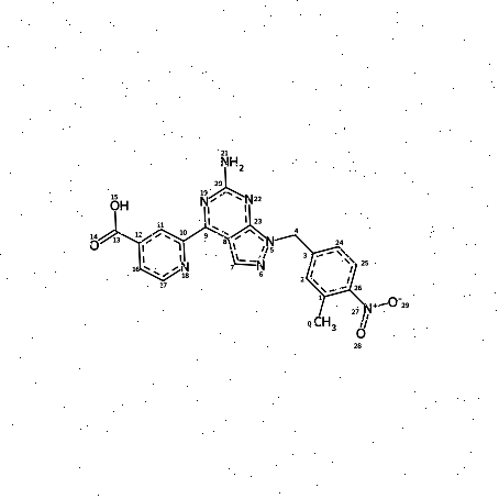 Cc1cc(Cn2ncc3c(-c4cc(C(=O)O)ccn4)nc(N)nc32)ccc1[N+](=O)[O-]